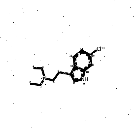 CCN(CC)CCc1c[nH]c2cc(Cl)ccc12